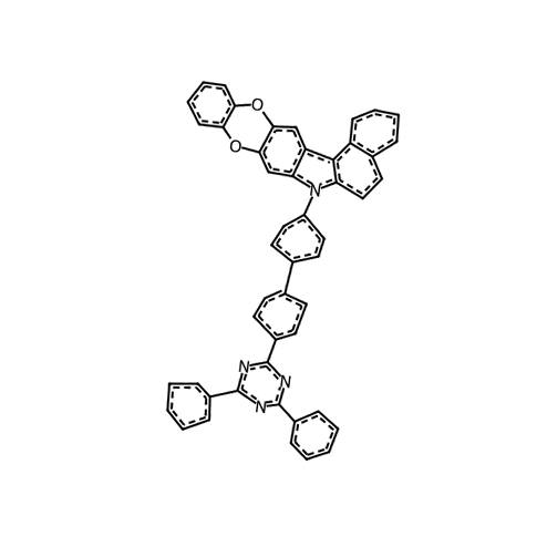 c1ccc(-c2nc(-c3ccccc3)nc(-c3ccc(-c4ccc(-n5c6cc7c(cc6c6c8ccccc8ccc65)Oc5ccccc5O7)cc4)cc3)n2)cc1